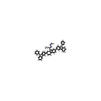 C/C=C\C=C(/C(C)C)n1c2cc(-c3ccc4c(c3)c3ccccc3n4-c3ccccc3)ccc2c2ccc(-c3ccc4c(c3)c3ccccc3n4-c3ccccc3)cc21